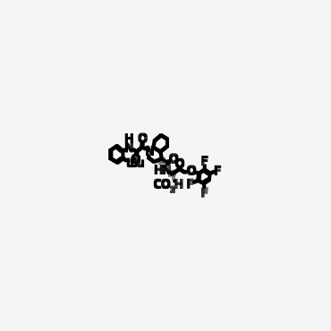 CC(C)(C)c1ccccc1NC(=O)C(=O)N1CC[C@H](C(=O)N[C@@H](CC(=O)O)C(=O)COc2c(F)c(F)cc(F)c2F)C2CCCCC21